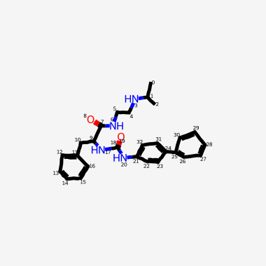 CC(C)NCCNC(=O)C(Cc1ccccc1)NC(=O)Nc1ccc(-c2ccccc2)cc1